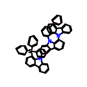 c1ccc(-c2cccc(-n3c4ccc(-n5c6ccccc6c6cccc([Si](c7ccccc7)(c7ccccc7)c7ccccc7)c65)cc4c4cccc(-n5c6ccccc6c6ccccc65)c43)c2)cc1